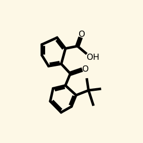 CC(C)(C)c1ccccc1C(=O)c1ccccc1C(=O)O